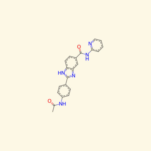 CC(=O)Nc1ccc(-c2nc3cc(C(=O)Nc4ccccn4)ccc3[nH]2)cc1